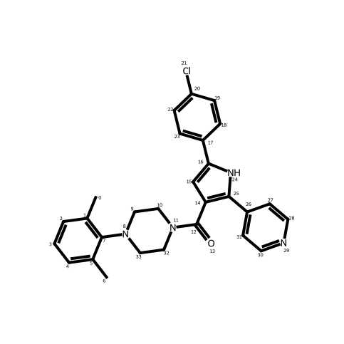 Cc1cccc(C)c1N1CCN(C(=O)c2cc(-c3ccc(Cl)cc3)[nH]c2-c2ccncc2)CC1